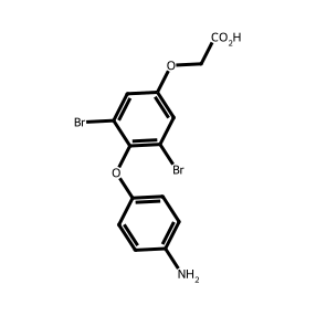 Nc1ccc(Oc2c(Br)cc(OCC(=O)O)cc2Br)cc1